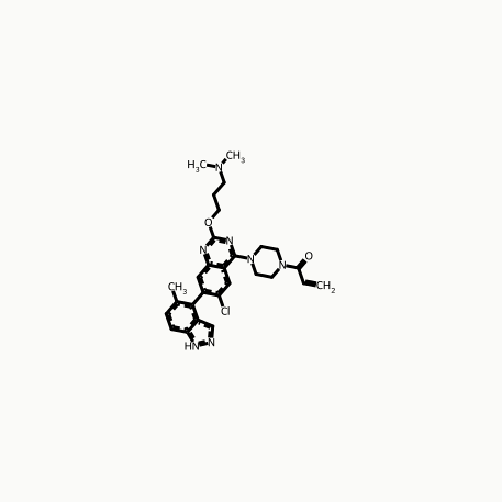 C=CC(=O)N1CCN(c2nc(OCCCN(C)C)nc3cc(-c4c(C)ccc5[nH]ncc45)c(Cl)cc23)CC1